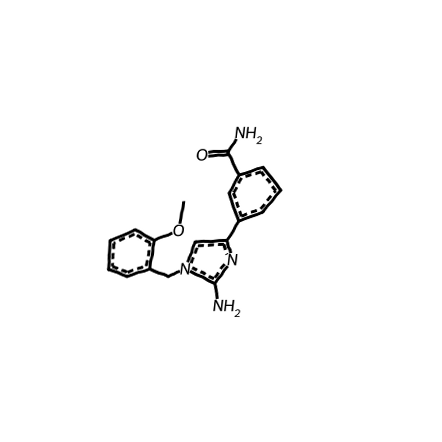 COc1ccccc1Cn1cc(-c2cccc(C(N)=O)c2)nc1N